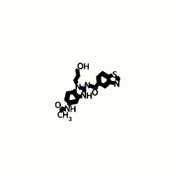 CC(=O)Nc1ccc2c(c1)[nH]/c(=N\C(=O)c1ccc3scnc3c1)n2CCCO